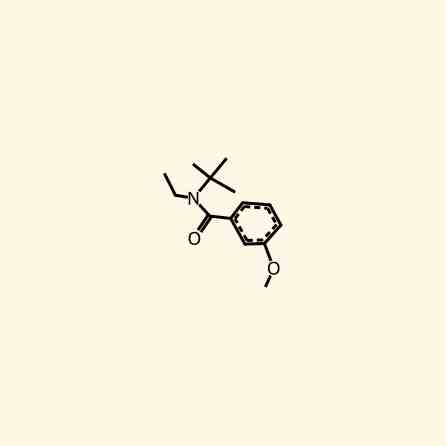 CCN(C(=O)c1cccc(OC)c1)C(C)(C)C